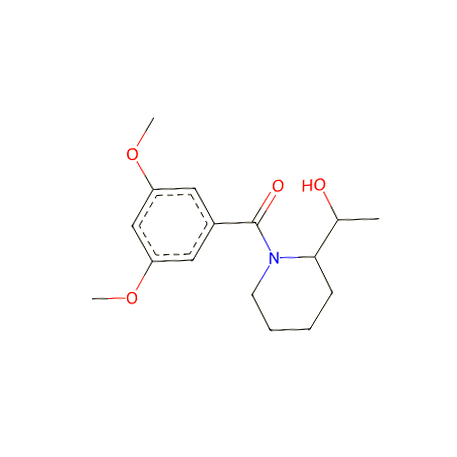 COc1cc(OC)cc(C(=O)N2CCCCC2C(C)O)c1